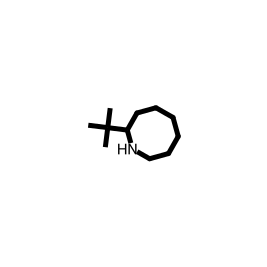 CC(C)(C)C1CCCCCCN1